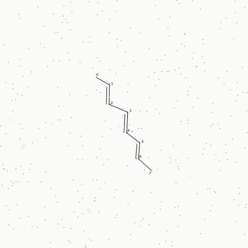 C/[C]=C/C=C/C=[C]/C